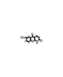 Cn1c(=O)ccc2c(=O)c3cc(C(C)(C)C)ccc3oc21